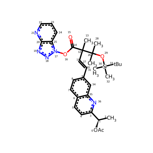 CC(=O)O[C@H](C)c1ccc2ccc(/C=C/C(C)(C(=O)On3nnc4ncccc43)C(C)(C)O[Si](C)(C)C(C)(C)C)cc2n1